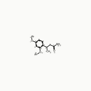 CC(C)Oc1ccc(C(C)CC(N)=O)c(OC(C)C)c1